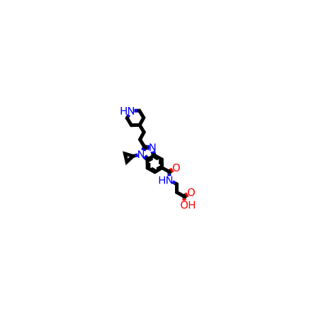 O=C(O)CCNC(=O)c1ccc2c(c1)nc(CCC1CCNCC1)n2C1CC1